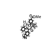 COC(=O)c1ccc(OC(C(=O)C(Nc2ccccc2C)c2ccc3ncoc3c2)C2NCCS2)cc1